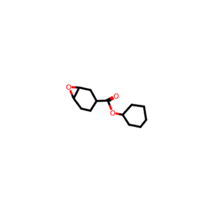 O=C(OC1CCCCC1)C1CCC2OC2C1